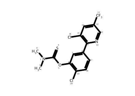 CN(C)C(=S)Oc1cc(-c2ncc(C(F)(F)F)cc2Cl)ccc1Cl